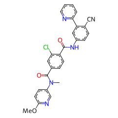 COc1ccc(N(C)C(=O)c2ccc(C(=O)Nc3ccc(C#N)c(-c4ccccn4)c3)c(Cl)c2)cn1